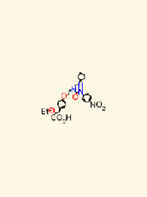 CCOC(Cc1ccc(OCCN(CCC2CCCC2)C(=O)Nc2ccc([N+](=O)[O-])cc2)cc1)C(=O)O